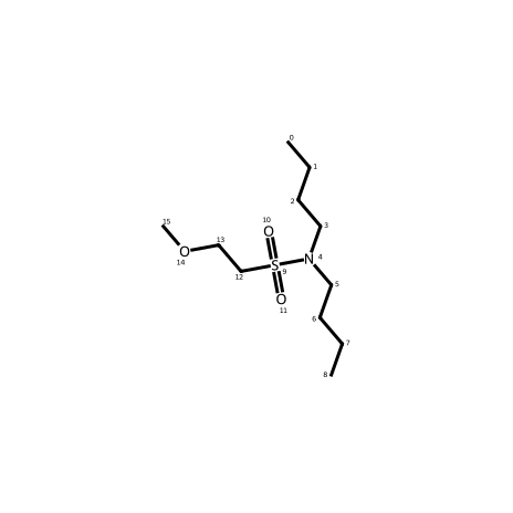 CCCCN(CCCC)S(=O)(=O)CCOC